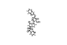 CCCC(NC(=O)Oc1cc2ccccc2o1)C(=O)N1CCC2C1C(=O)CN2S(=O)(=O)C(=O)c1cccnc1